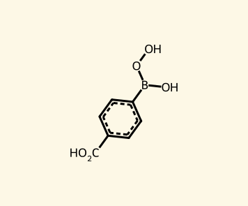 O=C(O)c1ccc(B(O)OO)cc1